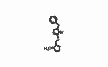 CN1CCCC1CSC1=NCC(Cc2ccccc2)N1